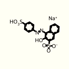 O=S(=O)([O-])c1cc2ccccc2c(N=Nc2ccc(S(=O)(=O)O)cc2)c1O.[Na+]